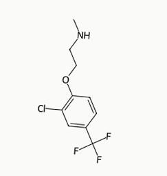 CNCCOc1ccc(C(F)(F)F)cc1Cl